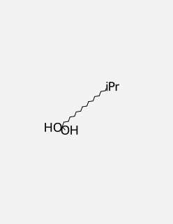 CC(C)CCCCCCCCCCCCCCC(O)O